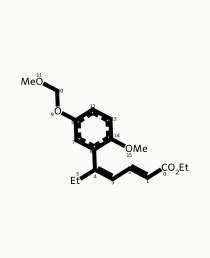 CCOC(=O)/C=C/C=C(/CC)c1cc(OCOC)ccc1OC